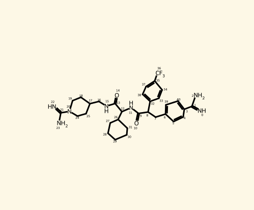 N=C(N)c1ccc(CC(C(=O)NC(C(=O)NCC2CCN(C(=N)N)CC2)C2CCCCC2)c2ccc(C(F)(F)F)cc2)cc1